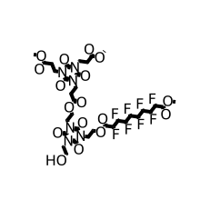 COC(=O)CCn1c(=O)n(CCC(=O)OC)c(=O)n(CCC(=O)OCCn2c(=O)n(CCO)c(=O)n(CCOC(=O)C(F)C(F)C(F)C(F)C(F)C(F)C(F)C(F)C(=O)OC)c2=O)c1=O